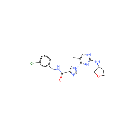 Cc1cnc(N[C@H]2CCOC2)nc1-n1cnc(C(=O)NCc2cccc(Cl)c2)c1